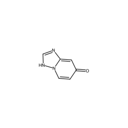 O=c1ccn2[nH]cnc2c1